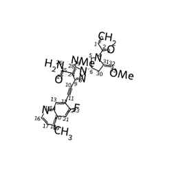 C=CC(=O)N1C[C@@H](n2nc(C#Cc3cc4nccc(C)c4cc3F)c(C(N)=O)c2NC)C/C1=C\OC